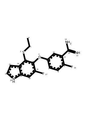 CCSc1c(Oc2ccc(F)c(C(=N)N)c2)c(F)cc2[nH]ccc12